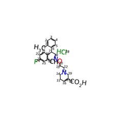 Cc1ccccc1C(C=NOCCN1CCC=C(C(=O)O)C1)c1ccc(F)cc1C.Cl